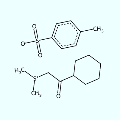 C[S+](C)CC(=O)C1CCCCC1.Cc1ccc(S(=O)(=O)[O-])cc1